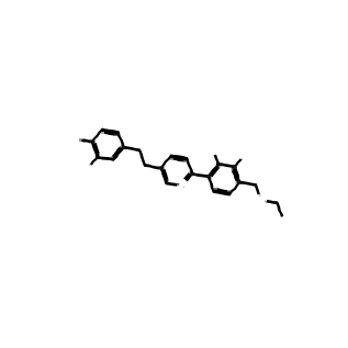 CCOCc1ccc(-c2ccc(CCc3ccc(O)c(F)c3)cn2)c(F)c1F